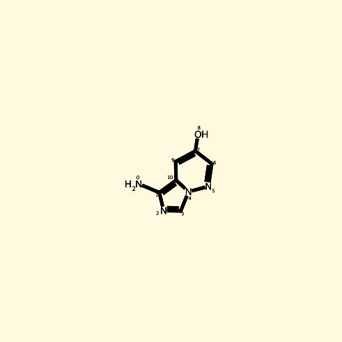 Nc1ncn2ncc(O)cc12